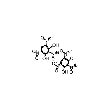 O=[N+]([O-])c1cc([N+](=O)[O-])c(O)c([N+](=O)[O-])c1O.O=[N+]([O-])c1cc([N+](=O)[O-])c(O)c([N+](=O)[O-])c1O